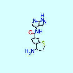 N[C@@H]1CCCSc2cc(C(=O)Nc3ccnc4[nH]ncc34)ccc21